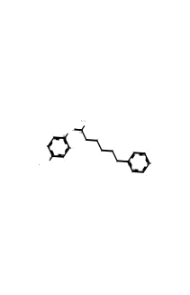 Cc1ccc(SC(CCCCCc2ccccc2)C(=O)O)cc1